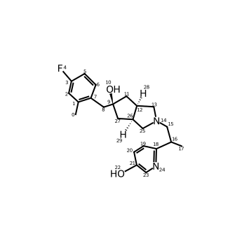 Cc1cc(F)ccc1C[C@]1(O)C[C@H]2CN(CC(C)c3ccc(O)cn3)C[C@H]2C1